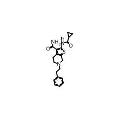 NC(=O)c1c(NC(=O)C2CC2)sc2c1CCN(CCc1ccccc1)C2